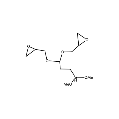 CO[SiH](CCC(OCC1CO1)OCC1CO1)OC